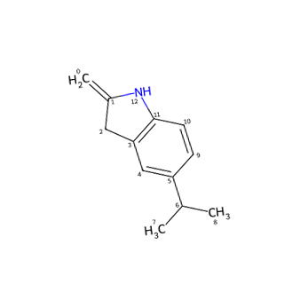 C=C1Cc2cc(C(C)C)ccc2N1